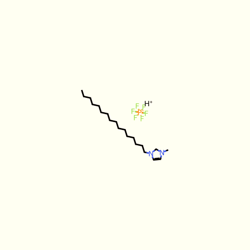 CCCCCCCCCCCCCCCCN1C=CN(C)C1.F[P-](F)(F)(F)(F)F.[H+]